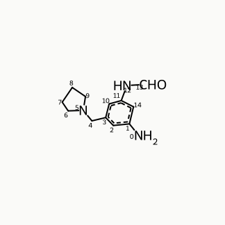 Nc1cc(CN2CCCC2)cc(NC=O)c1